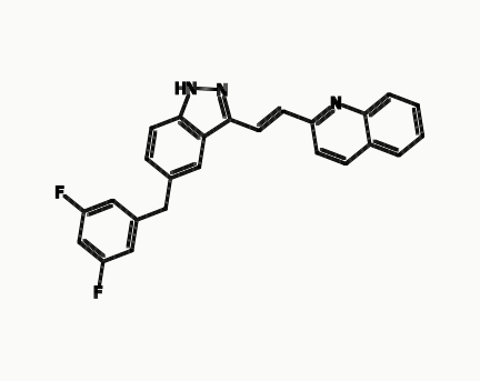 Fc1cc(F)cc(Cc2ccc3[nH]nc(/C=C/c4ccc5ccccc5n4)c3c2)c1